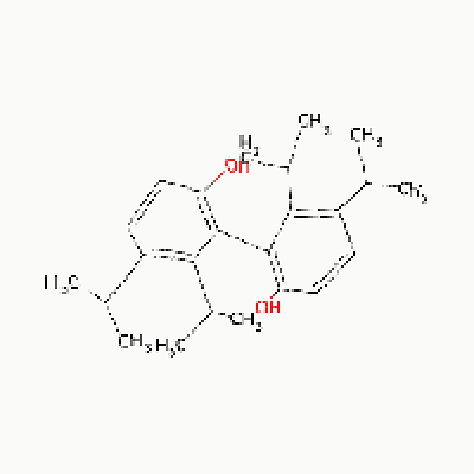 CC(C)c1ccc(O)c(-c2c(O)ccc(C(C)C)c2C(C)C)c1C(C)C